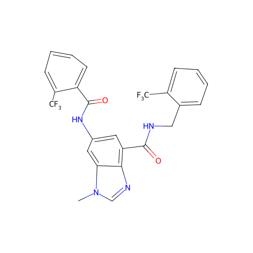 Cn1cnc2c(C(=O)NCc3ccccc3C(F)(F)F)cc(NC(=O)c3ccccc3C(F)(F)F)cc21